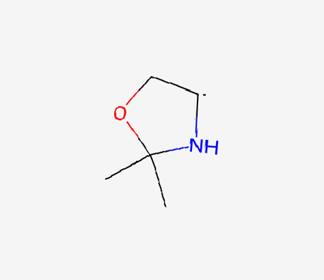 CC1(C)N[CH]CO1